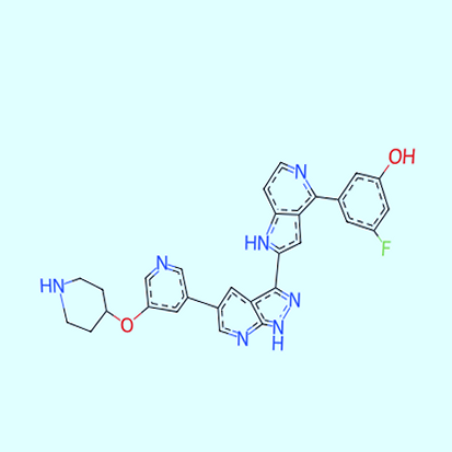 Oc1cc(F)cc(-c2nccc3[nH]c(-c4n[nH]c5ncc(-c6cncc(OC7CCNCC7)c6)cc45)cc23)c1